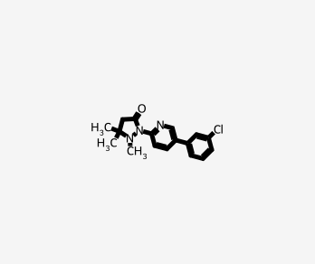 CN1N(c2ccc(-c3cccc(Cl)c3)cn2)C(=O)CC1(C)C